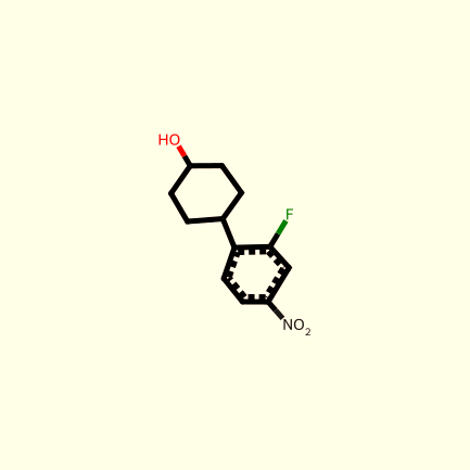 O=[N+]([O-])c1ccc(C2CCC(O)CC2)c(F)c1